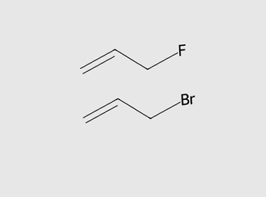 C=CCBr.C=CCF